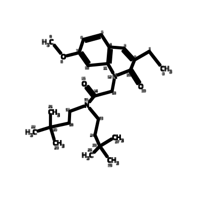 CCc1cc2ccc(OC)cc2n(CC(=O)N(CCC(C)(C)C)CCC(C)(C)C)c1=O